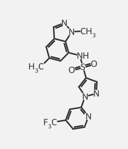 Cc1cc(NS(=O)(=O)c2cnn(-c3cc(C(F)(F)F)ccn3)c2)c2c(cnn2C)c1